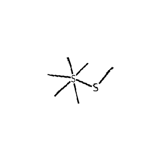 CSS(C)(C)(C)(C)C